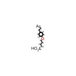 CC(=O)CCc1ccc(OCCCCC(=O)O)cc1